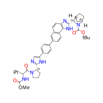 COC(=O)NC(C(=O)N1CCC[C@H]1c1ncc(-c2ccc(-c3ccc4c(ccc5nc([C@@H]6[C@H]7CC[C@H](C7)N6C(=O)OC(C)(C)C)[nH]c54)c3)cc2)[nH]1)C(C)C